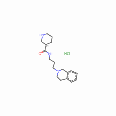 Cl.O=C(NCCCN1CCc2ccccc2C1)[C@@H]1CCCNC1